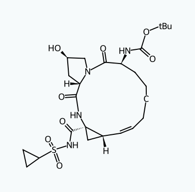 CC(C)(C)OC(=O)N[C@H]1CCCC/C=C\[C@@H]2C[C@@]2(C(=O)NS(=O)(=O)C2CC2)NC(=O)[C@@H]2C[C@@H](O)CN2C1=O